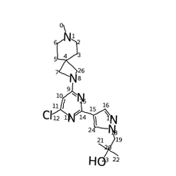 CN1CCC2(CC1)CN(c1cc(Cl)nc(-c3cnn(CC(C)(C)O)c3)n1)C2